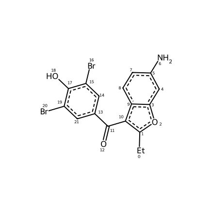 CCc1oc2cc(N)ccc2c1C(=O)c1cc(Br)c(O)c(Br)c1